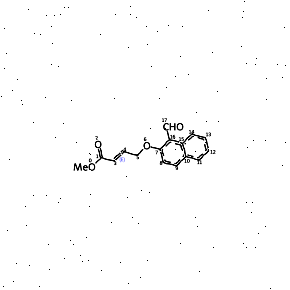 COC(=O)/C=C/COc1ccc2ccccc2c1C=O